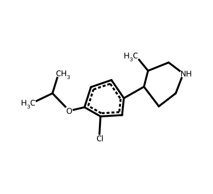 CC(C)Oc1ccc(C2CCNCC2C)cc1Cl